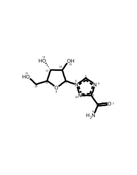 NC(=O)c1ncn(C2OC(CO)[C@H](O)C2O)n1